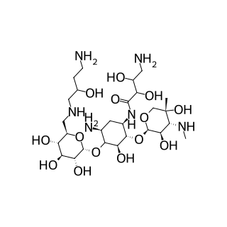 CN[C@@H]1[C@@H](O)[C@@H](O[C@H]2[C@H](NC(=O)C(O)C(O)CN)C[C@H](N)C(O[C@H]3O[C@H](CNCC(O)CCN)[C@@H](O)[C@H](O)[C@H]3O)[C@@H]2O)OC[C@]1(C)O